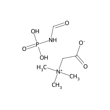 C[N+](C)(C)CC(=O)[O-].O=CNP(=O)(O)O